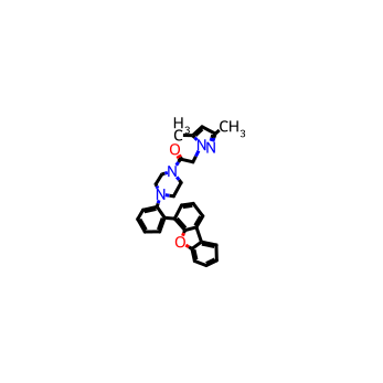 Cc1cc(C)n(CC(=O)N2CCN(c3ccccc3-c3cccc4c3oc3ccccc34)CC2)n1